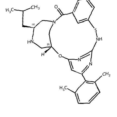 Cc1cccc(C)c1-c1cc2nc(n1)NSc1cccc(c1)C(=O)N1C[C@H](CC(C)C)NC[C@H](C1)O2